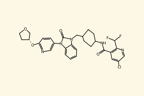 O=C(NC1CCC(Cn2c(=O)n(-c3ccc(O[C@@H]4CCOC4)nc3)c3ccccc32)CC1)c1cc(Cl)cnc1C(F)F